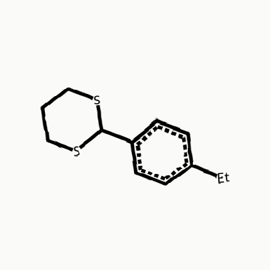 CCc1ccc(C2SCCCS2)cc1